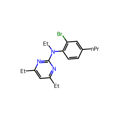 CCCc1ccc(N(CC)c2nc(CC)cc(CC)n2)c(Br)c1